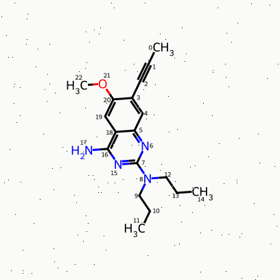 CC#Cc1cc2nc(N(CCC)CCC)nc(N)c2cc1OC